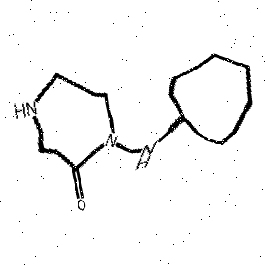 O=C1CNCCN1NC1CCCCC1